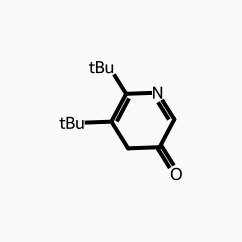 CC(C)(C)C1=C(C(C)(C)C)N=CC(=O)C1